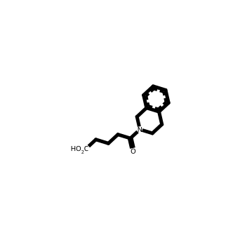 O=C(O)CCCC(=O)N1CCc2ccccc2C1